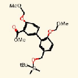 COCOc1ccc(-c2cc(CO[Si](C)(C)C(C)(C)C)ccc2OCOC)cc1C(=O)OC